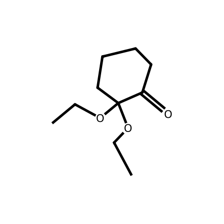 CCOC1(OCC)CCCCC1=O